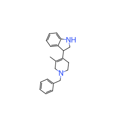 CC1=C(C2CNc3ccccc32)CCN(Cc2ccccc2)C1